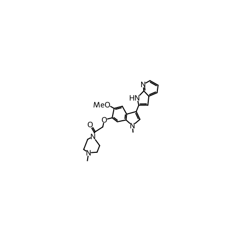 COc1cc2c(-c3cc4cccnc4[nH]3)cn(C)c2cc1OCC(=O)N1CCN(C)CC1